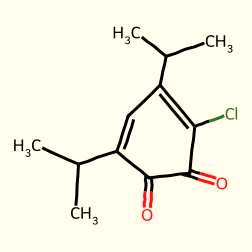 CC(C)C1=CC(C(C)C)=C(Cl)C(=O)C1=O